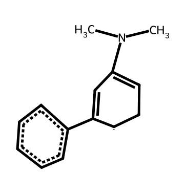 CN(C)C1=CC[CH]C(c2ccccc2)=C1